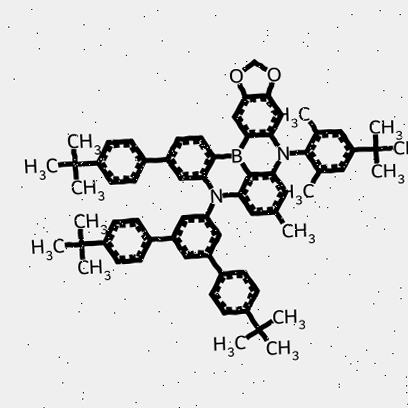 Cc1cc2c3c(c1)N(c1c(C)cc(C(C)(C)C)cc1C)c1cc4c(cc1B3c1ccc(-c3ccc(C(C)(C)C)cc3)cc1N2c1cc(-c2ccc(C(C)(C)C)cc2)cc(-c2ccc(C(C)(C)C)cc2)c1)OCO4